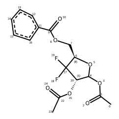 CC(=O)OC1O[C@H](COC(=O)c2ccccc2)C(F)(F)[C@H]1OC(C)=O